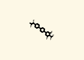 C/C(F)=C(\F)c1ccc(-c2ccc(-c3cc(F)c(C(F)F)c(F)c3)cc2)cc1